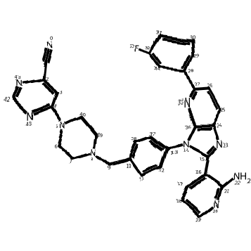 N#Cc1cc(N2CCN(Cc3ccc(-n4c(-c5cccnc5N)nc5ccc(-c6cccc(F)c6)nc54)cc3)CC2)ncn1